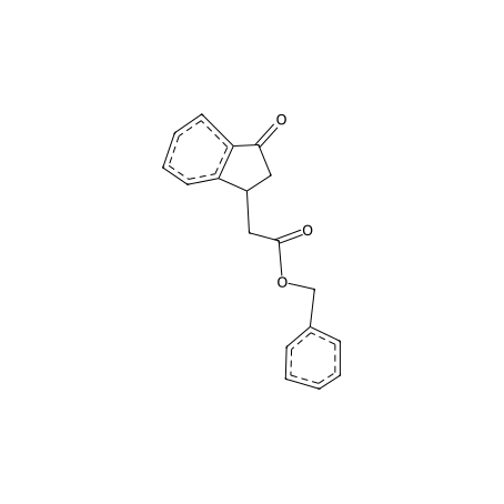 O=C(CC1CC(=O)c2ccccc21)OCc1ccccc1